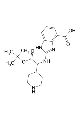 CC(C)(C)OC(=O)C(Nc1nc2c(C(=O)O)cccc2[nH]1)C1CCNCC1